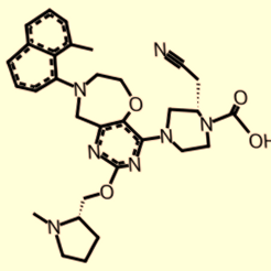 Cc1cccc2cccc(N3CCOc4c(nc(OC[C@@H]5CCCN5C)nc4N4CCN(C(=O)O)[C@@H](CC#N)C4)C3)c12